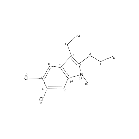 CCCc1c(CC)c2cc(Cl)c(Cl)cc2n1C